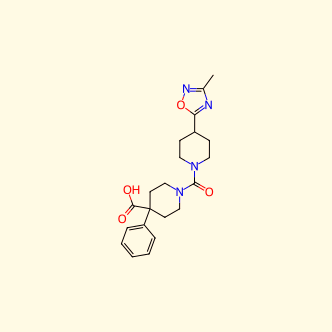 Cc1noc(C2CCN(C(=O)N3CCC(C(=O)O)(c4ccccc4)CC3)CC2)n1